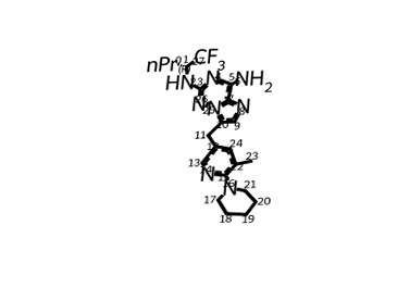 CCC[C@@H](Nc1nc(N)c2ncc(Cc3cnc(N4CCCCC4)c(C)c3)n2n1)C(F)(F)F